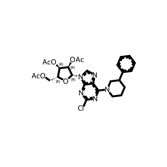 CC(=O)OC[C@H]1O[C@@H](n2cnc3c(N4CCCC(c5ccccc5)C4)nc(Cl)nc32)[C@H](OC(C)=O)[C@@H]1OC(C)=O